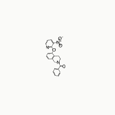 O=C(c1ccccc1)N1CCc2c(cccc2Oc2ncccc2[N+](=O)[O-])C1